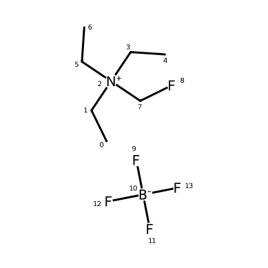 CC[N+](CC)(CC)CF.F[B-](F)(F)F